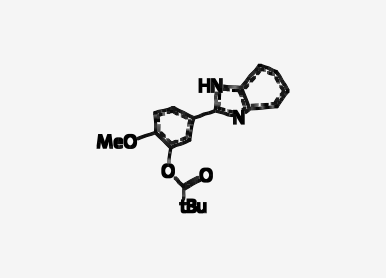 COc1ccc(-c2nc3ccccc3[nH]2)cc1OC(=O)C(C)(C)C